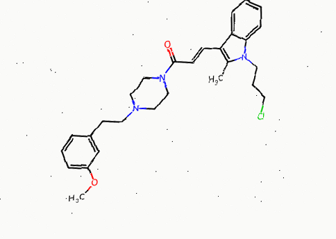 COc1cccc(CCN2CCN(C(=O)C=Cc3c(C)n(CCCCl)c4ccccc34)CC2)c1